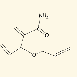 C=CCOC(C=C)C(=C)C(N)=O